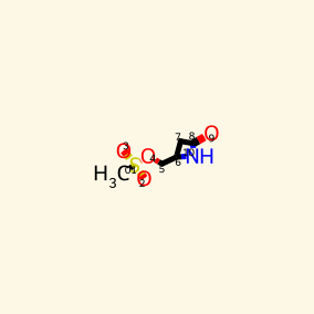 CS(=O)(=O)OCC1CC(=O)N1